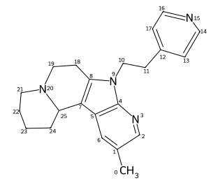 Cc1cnc2c(c1)c1c(n2CCc2ccncc2)CCN2CCCCC12